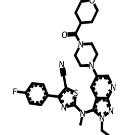 CCn1nc2ncc(N3CCN(C(=O)C4CCOCC4)CC3)cc2c1N(C)c1nc(-c2ccc(F)cc2)c(C#N)s1